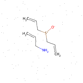 C=CCN.C=CC[S+]([O-])CC=C